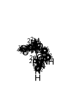 [2H]C([2H])([2H])n1c(C(=O)Nc2cccc(-c3cccc(NC(=O)c4nc5c(n4C([2H])([2H])[2H])CCN(C(=O)OC(C)(C)C)C5)c3Cl)c2Cl)nc2c1CCNC2